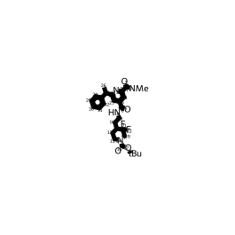 CNC(=O)c1cc(C(=O)NCCC2CCN(C(=O)OC(C)(C)C)CC2(F)F)cc(C(C)c2ccccc2)n1